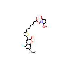 CC(=O)Oc1cc(F)c2cc(-c3ccc(CCCCCC(=O)ON4C(=O)CCC4O)s3)c(=O)oc2c1